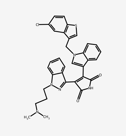 CN(C)CCCn1nc(C2=C(c3cn(Cc4csc5ccc(Cl)cc45)c4ccccc34)C(=O)NC2=O)c2ccccc21